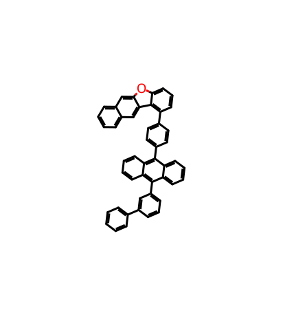 c1ccc(-c2cccc(-c3c4ccccc4c(-c4ccc(-c5cccc6oc7cc8ccccc8cc7c56)cc4)c4ccccc34)c2)cc1